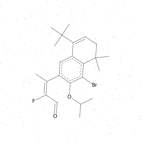 C/C(=C(\F)C=O)c1cc2c(c(Br)c1OC(C)C)C(C)(C)CC=C2C(C)(C)C